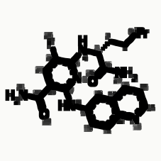 CC(C)CC[C@@H](Nc1nc(Nc2ccc3ncccc3c2)c(C(N)=O)cc1F)C(N)=O